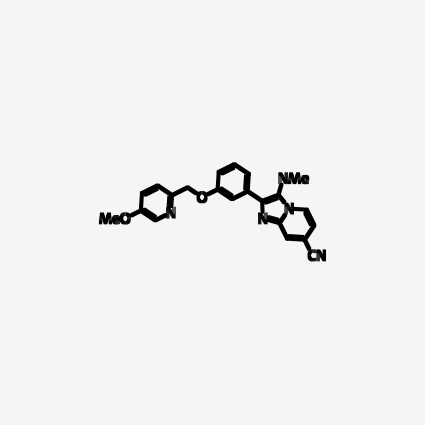 CNc1c(-c2cccc(OCc3ccc(OC)cn3)c2)nc2cc(C#N)ccn12